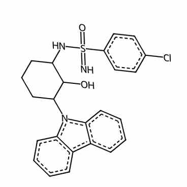 N=S(=O)(NC1CCCC(n2c3ccccc3c3ccccc32)C1O)c1ccc(Cl)cc1